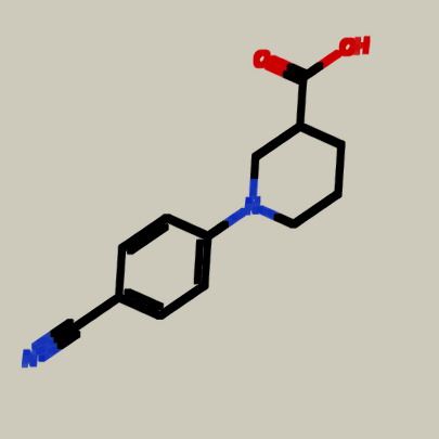 N#Cc1ccc(N2CCCC(C(=O)O)C2)cc1